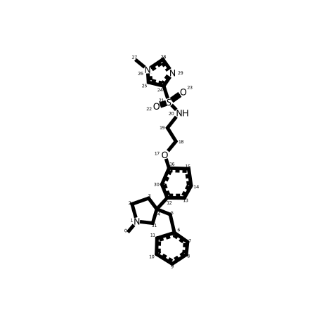 CN1CCC(Cc2ccccc2)(c2cccc(OCCNS(=O)(=O)c3cn(C)cn3)c2)C1